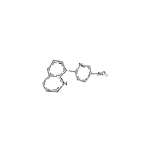 O=[N+]([O-])c1ccc(-c2cccc3cccnc23)nc1